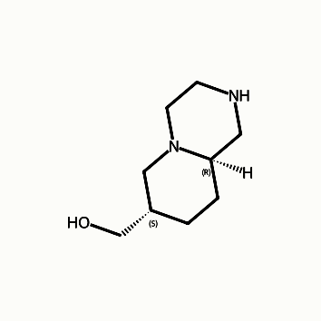 OC[C@H]1CC[C@@H]2CNCCN2C1